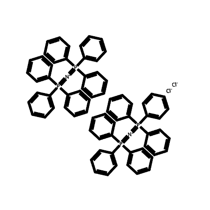 [Cl-].[Cl-].c1ccc(P(=[N+]=P(c2ccccc2)(c2ccccc2)c2ccccc2)(c2ccccc2)c2ccccc2)cc1.c1ccc(P(=[N+]=P(c2ccccc2)(c2ccccc2)c2ccccc2)(c2ccccc2)c2ccccc2)cc1